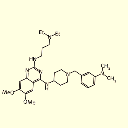 CCN(CC)CCCNc1nc(NC2CCN(Cc3cccc(N(C)C)c3)CC2)c2cc(OC)c(OC)cc2n1